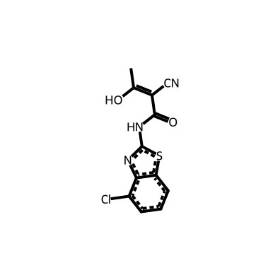 CC(O)=C(C#N)C(=O)Nc1nc2c(Cl)cccc2s1